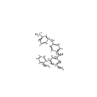 Cc1cc(Oc2ccc(Nc3cc(-c4ccccc4N)nc(N)n3)cc2)ccn1